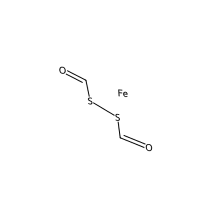 O=CSSC=O.[Fe]